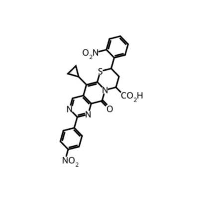 O=C(O)C1CC(c2ccccc2[N+](=O)[O-])Sc2c(C3CC3)c3cnc(-c4ccc([N+](=O)[O-])cc4)nc3c(=O)n21